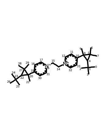 CC(C)(C)C1C(C)(C)C1(C)c1cc[n+](CC[n+]2ccc(C3(C)C(C(C)(C)C)C3(C)C)cc2)cc1